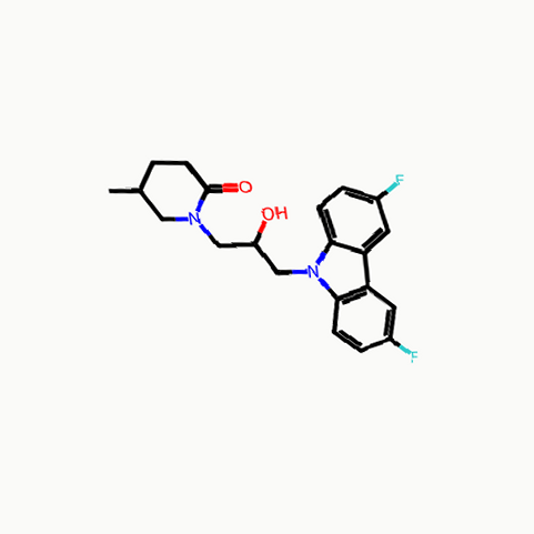 CC1CCC(=O)N(CC(O)Cn2c3ccc(F)cc3c3cc(F)ccc32)C1